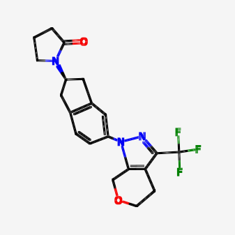 O=C1CCCN1[C@@H]1Cc2ccc(-n3nc(C(F)(F)F)c4c3COCC4)cc2C1